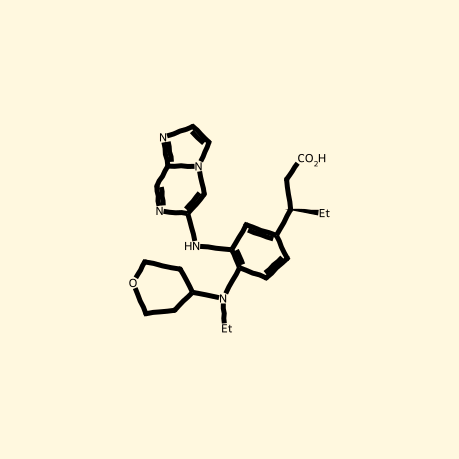 CC[C@H](CC(=O)O)c1ccc(N(CC)C2CCOCC2)c(Nc2cn3ccnc3cn2)c1